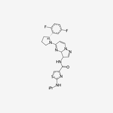 CC(C)Nc1nc(C(=O)NC2C=NN3C=CC(N4CCC[C@@H]4c4cc(F)ccc4F)=NC23)cs1